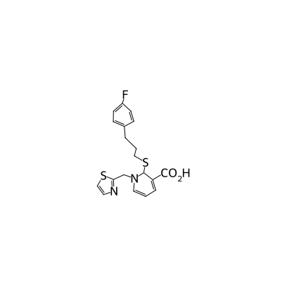 O=C(O)C1=CC=CN(Cc2nccs2)C1SCCCc1ccc(F)cc1